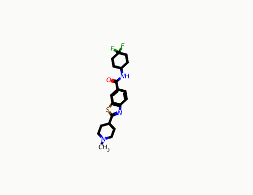 CN1CCC(c2nc3ccc(C(=O)NC4CCC(F)(F)CC4)cc3s2)CC1